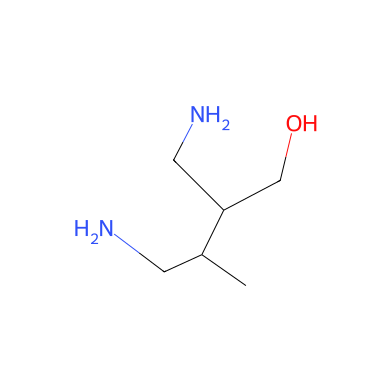 CC(CN)C(CN)CO